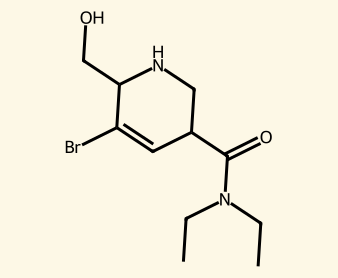 CCN(CC)C(=O)C1C=C(Br)C(CO)NC1